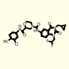 N#Cc1ccc(NC(=O)C2CN(C(=O)Nc3ccc4c(c3)c(=O)n(CC3CC3)c(=O)n4CC(F)F)CCO2)cc1Cl